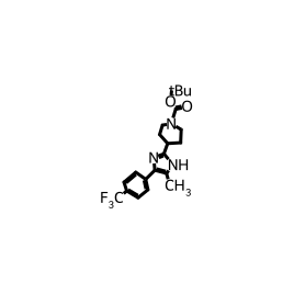 Cc1[nH]c(C2CCN(C(=O)OC(C)(C)C)CC2)nc1-c1ccc(C(F)(F)F)cc1